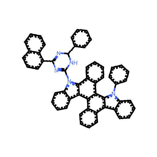 c1ccc(C2N=C(c3cccc4ccccc34)N=C(n3c4ccccc4c4c5c6ccccc6c6c7ccccc7n(-c7ccccc7)c6c5c5ccccc5c43)N2)cc1